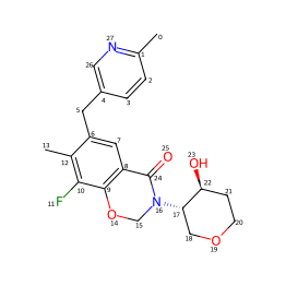 Cc1ccc(Cc2cc3c(c(F)c2C)OCN([C@H]2COCC[C@@H]2O)C3=O)cn1